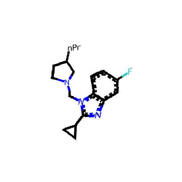 CCCC1CCN(Cn2c(C3CC3)nc3cc(F)ccc32)C1